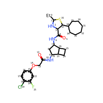 CCC1NC(C(=O)NC2C[C@H](NC(=O)COc3ccc(Cl)c(F)c3)C3CCC23)C(C2CCCCCC2)S1